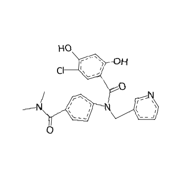 CN(C)C(=O)c1ccc(N(Cc2cccnc2)C(=O)c2cc(Cl)c(O)cc2O)cc1